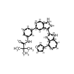 CC(C)(C)C(=O)Nc1cncc(-c2cc3c(-c4nc5c(-c6ccoc6)nccc5[nH]4)n[nH]c3cn2)c1